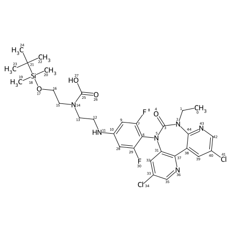 CCN1C(=O)N(c2c(F)cc(NCCN(CCO[Si](C)(C)C(C)(C)C)C(=O)O)cc2F)c2cc(Cl)cnc2-c2cc(Cl)cnc21